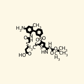 CSc1sc(C(=N)NC(=O)OC(C)(C)C)cc1S(=O)(=O)c1cccc(-c2c(C)cc(N)cc2NC(=O)CSCCC(=O)O)c1